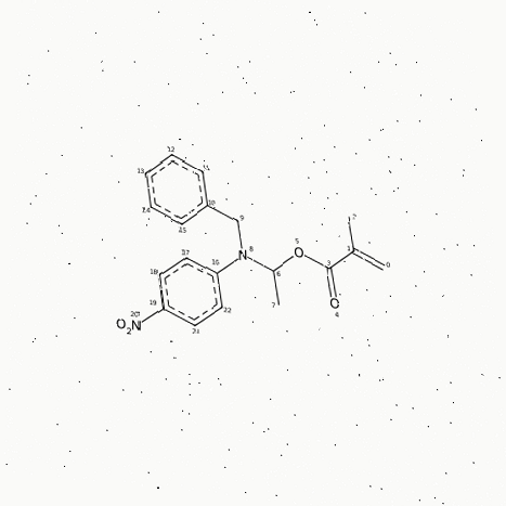 C=C(C)C(=O)OC(C)N(Cc1ccccc1)c1ccc([N+](=O)[O-])cc1